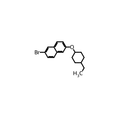 CCC1CCC(Oc2ccc3cc(Br)ccc3c2)CC1